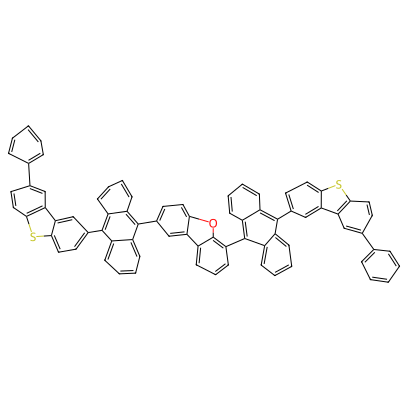 c1ccc(-c2ccc3sc4ccc(-c5c6ccccc6c(-c6ccc7oc8c(-c9c%10ccccc%10c(-c%10ccc%11sc%12ccc(-c%13ccccc%13)cc%12c%11c%10)c%10ccccc9%10)cccc8c7c6)c6ccccc56)cc4c3c2)cc1